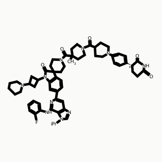 CC(C)n1cnc2cc(-c3ccc4c(c3)N(C3CC(N5CCCCC5)C3)C(=O)C43CCN(C(=O)C4(C)CCN(C(=O)C5CCN(c6ccc([C@H]7CCC(=O)NC7=O)cc6)CC5)CC4)CC3)nc(Nc3ccccc3F)c21